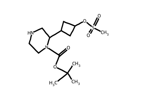 CC(C)(C)OC(=O)N1CCNCC1C1CC(OS(C)(=O)=O)C1